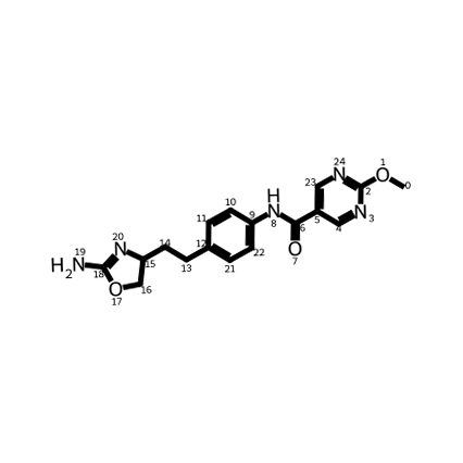 COc1ncc(C(=O)Nc2ccc(CCC3COC(N)=N3)cc2)cn1